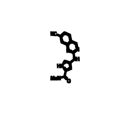 CNC(=O)c1cc(Nc2ncc3ccc(C#N)cc3n2)c[nH]1